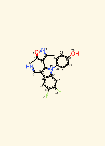 Cc1noc(C)c1-c1c(C=N)c2cc(F)c(F)cc2n1-c1ccc(O)cc1